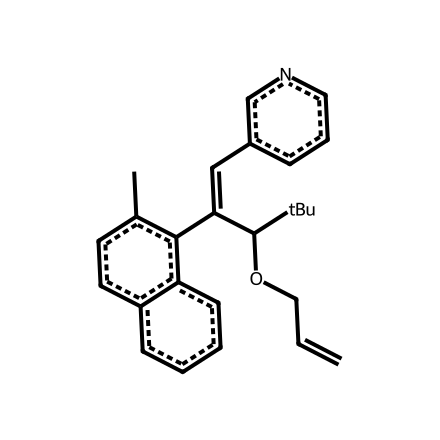 C=CCOC(C(=Cc1cccnc1)c1c(C)ccc2ccccc12)C(C)(C)C